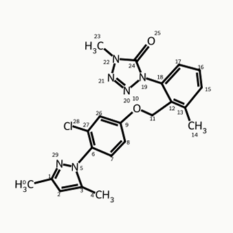 Cc1cc(C)n(-c2ccc(OCc3c(C)cccc3-n3nnn(C)c3=O)cc2Cl)n1